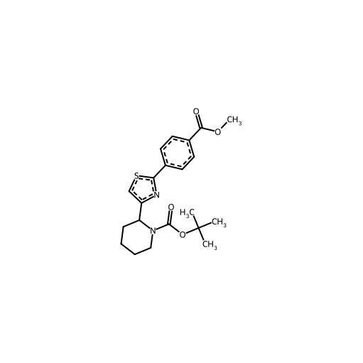 COC(=O)c1ccc(-c2nc(C3CCCCN3C(=O)OC(C)(C)C)cs2)cc1